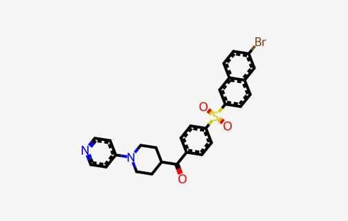 O=C(c1ccc(S(=O)(=O)c2ccc3cc(Br)ccc3c2)cc1)C1CCN(c2ccncc2)CC1